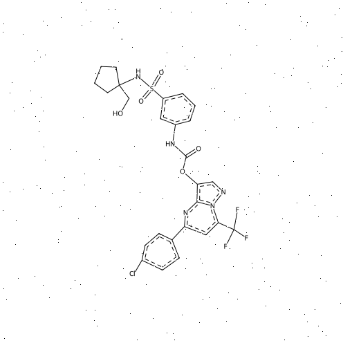 O=C(Nc1cccc(S(=O)(=O)NC2(CO)CCCC2)c1)Oc1cnn2c(C(F)(F)F)cc(-c3ccc(Cl)cc3)nc12